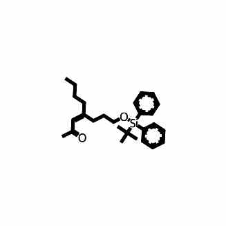 CCCC/C(=C/C(C)=O)CCCO[Si](c1ccccc1)(c1ccccc1)C(C)(C)C